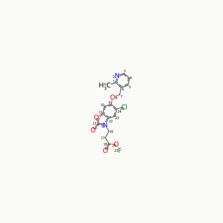 Cc1ncccc1COc1cc2oc(=O)n(CCC(=O)OF)c2cc1Cl